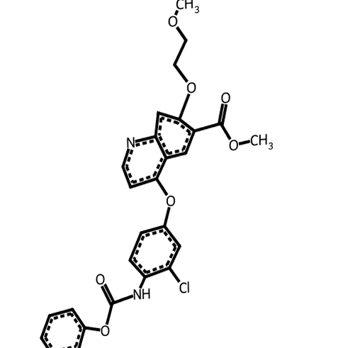 COCCOc1cc2nccc(Oc3ccc(NC(=O)Oc4ccccc4)c(Cl)c3)c2cc1C(=O)OC